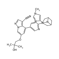 Cn1cnc(CN2C3CC2CN(c2ccc(-c4cc(OCC(C)(C)O)cn5ncc(C#N)c45)cn2)C3)c1